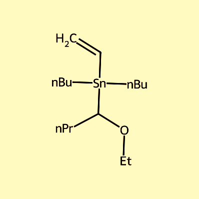 C=[CH][Sn]([CH2]CCC)([CH2]CCC)[CH](CCC)OCC